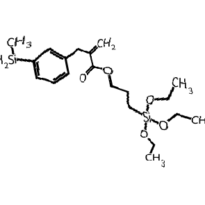 C=C(Cc1cccc([SiH2]C)c1)C(=O)OCCC[Si](OCC)(OCC)OCC